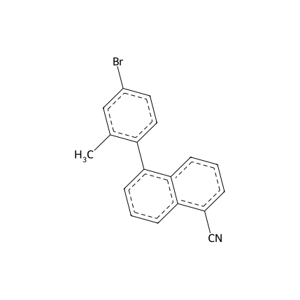 Cc1cc(Br)ccc1-c1cccc2c(C#N)cccc12